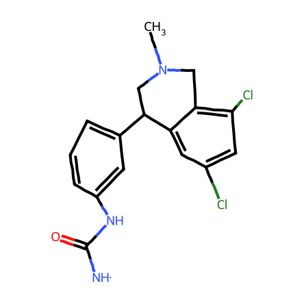 CN1Cc2c(Cl)cc(Cl)cc2C(c2cccc(NC([NH])=O)c2)C1